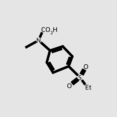 CCS(=O)(=O)c1ccc(N(C)C(=O)O)cc1